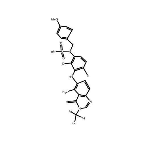 [2H]C([2H])([2H])n1cnc2ccc(Nc3c(F)ccc(N(Cc4ccc(OC)cc4)S(=O)(=O)CCC)c3Cl)c(C)c2c1=O